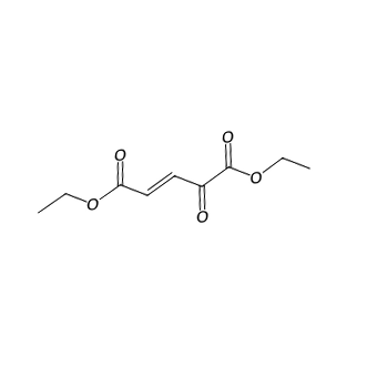 CCOC(=O)C=CC(=O)C(=O)OCC